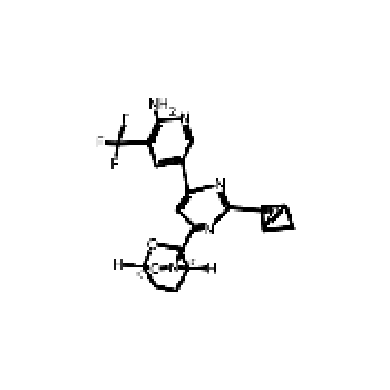 Nc1ncc(-c2cc(N3C[C@@H]4CC[C@H]3CO4)nc(N3CC4CC3C4)n2)cc1C(F)(F)F